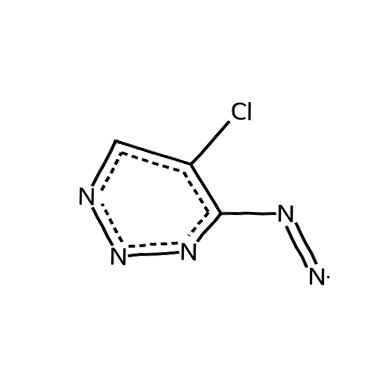 [N]=Nc1nnncc1Cl